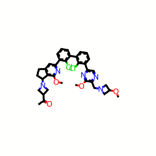 COc1nc(-c2cccc(-c3cccc(-c4cc5c(c(OC)n4)C(N4CC(C(C)=O)C4)CC5)c3Cl)c2Cl)cnc1CN1CC(OC)C1